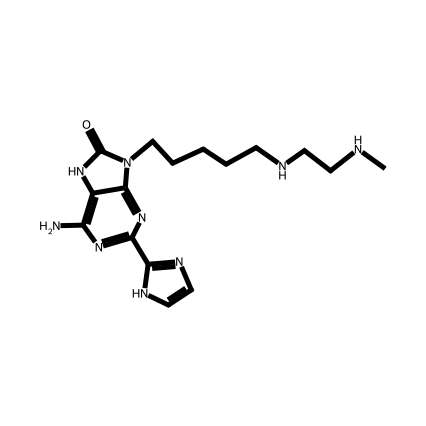 CNCCNCCCCCn1c(=O)[nH]c2c(N)nc(-c3ncc[nH]3)nc21